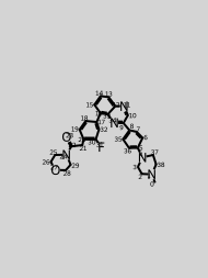 CN1CCN(c2ccc(-c3cnc4cccc(-c5ccc(CC(=O)N6CCOCC6)c(F)c5)c4n3)cc2)CC1